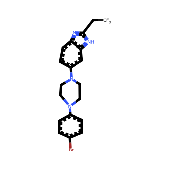 FC(F)(F)Cc1nc2ccc(N3CCN(c4ccc(Br)cc4)CC3)cc2[nH]1